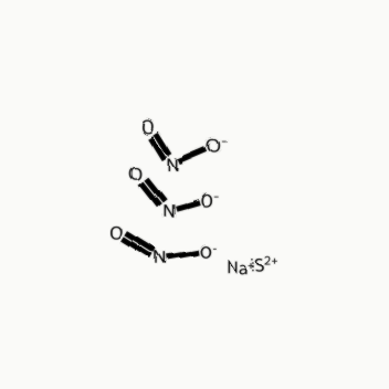 O=N[O-].O=N[O-].O=N[O-].[Na+].[S+2]